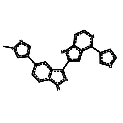 Cn1cc(-c2ccc3[nH]nc(-c4cc5c(-c6ccoc6)nccc5[nH]4)c3c2)cn1